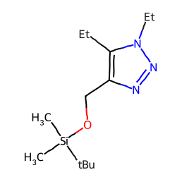 CCc1c(CO[Si](C)(C)C(C)(C)C)nnn1CC